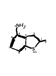 CC1Cc2c(N)cccc2S1